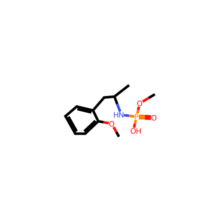 COc1ccccc1CC(C)NP(=O)(O)OC